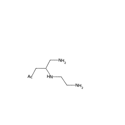 CC(=O)CC(CN)NCCN